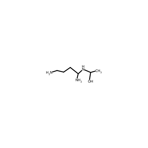 CC(O)NC(N)CCCN